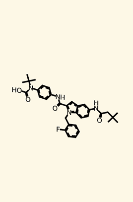 CC(C)(C)CC(=O)Nc1ccc2c(c1)cc(C(=O)Nc1ccc(N(C(=O)O)C(C)(C)C)cc1)n2Cc1ccccc1F